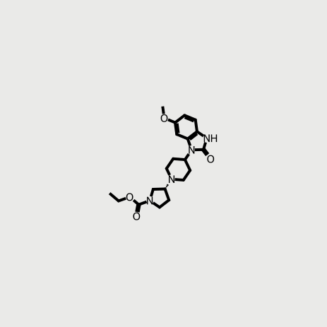 CCOC(=O)N1CC[C@@H](N2CCC(n3c(=O)[nH]c4ccc(OC)cc43)CC2)C1